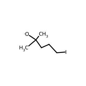 CC(C)([O])CCCI